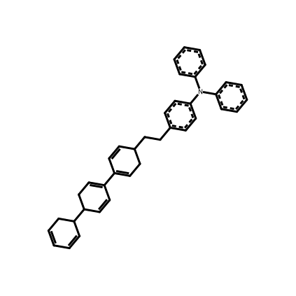 C1=CCC(C2C=CC(C3=CCC(CCc4ccc(N(c5ccccc5)c5ccccc5)cc4)C=C3)=CC2)C=C1